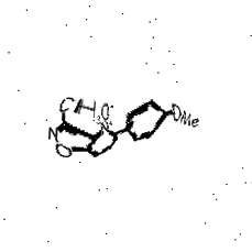 COc1ccc(-c2ccc3onc(C)c3[n+]2[O-])cc1